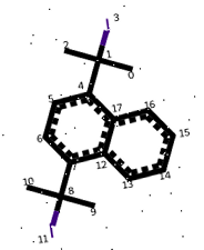 CC(C)(I)c1ccc(C(C)(C)I)c2ccccc12